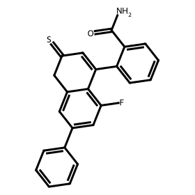 NC(=O)c1ccccc1C1=CC(=S)Cc2cc(-c3ccccc3)cc(F)c21